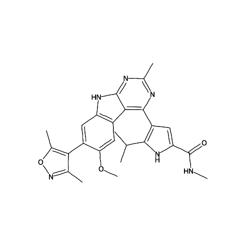 CNC(=O)c1cc(-c2nc(C)nc3[nH]c4cc(-c5c(C)noc5C)c(OC)cc4c23)c(C(C)C)[nH]1